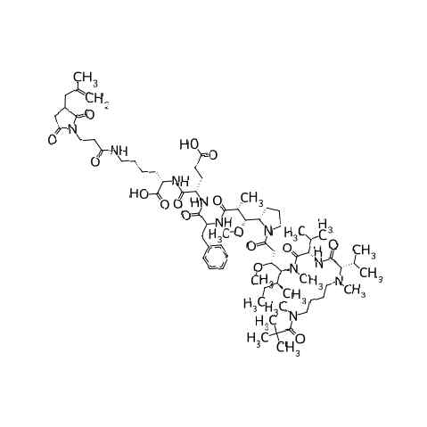 C=C(C)CC1CC(=O)N(CCC(=O)NCCCC[C@H](NC(=O)[C@H](CCC(=O)O)NC(=O)C(Cc2ccccc2)NC(=O)[C@H](C)[C@@H](OC)[C@@H]2CCCN2C(=O)C[C@@H](OC)[C@H]([C@@H](C)CC)N(C)C(=O)[C@@H](NC(=O)[C@H](C(C)C)N(C)CCCCN(C)C(=O)C(C)(C)C)C(C)C)C(=O)O)C1=O